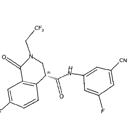 N#Cc1cc(F)cc(NC(=O)[C@H]2CN(CC(F)(F)F)C(=O)c3cc(F)ccc32)c1